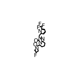 O=C(C1CCCc2nn(Cc3cccc(C(F)(F)F)n3)c(=O)n21)N1CC(F)C1